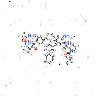 CC(C)(C)OC(=O)N1CCC[C@H]1C(=O)Nc1ccc([C@H]2CC[C@H](c3ccc(NC(=O)[C@@H]4CCCN4C(=O)OC(C)(C)C)c(N)c3)N2c2ccc(C3CCCCC3)cc2)cc1N